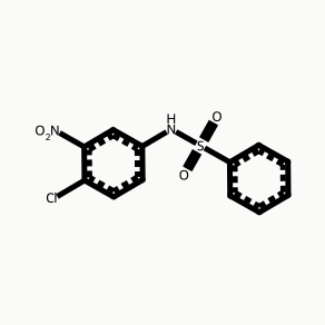 O=[N+]([O-])c1cc(NS(=O)(=O)c2ccccc2)ccc1Cl